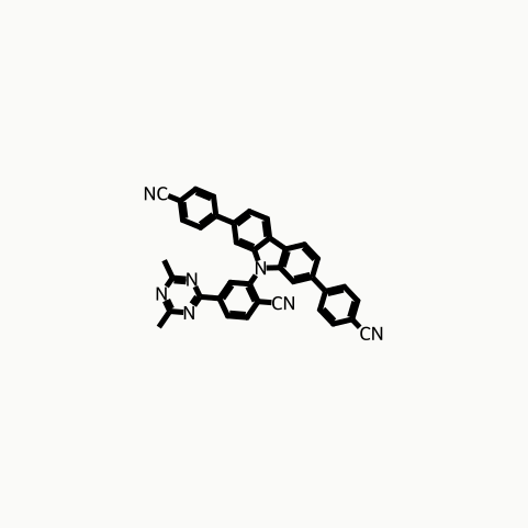 Cc1nc(C)nc(-c2ccc(C#N)c(-n3c4cc(-c5ccc(C#N)cc5)ccc4c4ccc(-c5ccc(C#N)cc5)cc43)c2)n1